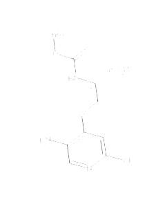 CC(C)(C)OC(=O)N[C@@H](COc1cc(Cl)ncc1N)C(=O)O